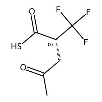 CC(=O)C[C@H](C(=O)S)C(F)(F)F